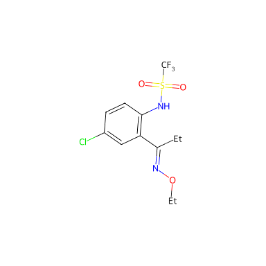 CCO/N=C(\CC)c1cc(Cl)ccc1NS(=O)(=O)C(F)(F)F